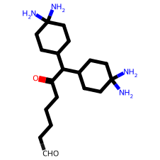 NC1(N)CCC(C(C(=O)CCCCC=O)C2CCC(N)(N)CC2)CC1